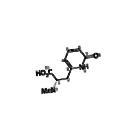 CN[C@@H](Cc1cccc(=O)[nH]1)C(=O)O